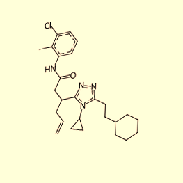 C=CCC(CC(=O)Nc1cccc(Cl)c1C)c1nnc(CCC2CCCCC2)n1C1CC1